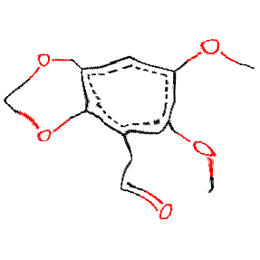 COc1cc2c(c(C=O)c1OC)OCO2